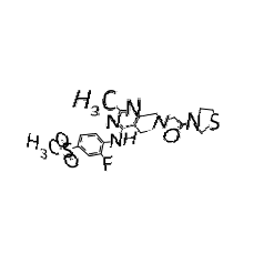 Cc1nc2c(c(Nc3ccc(S(C)(=O)=O)cc3F)n1)CCN(CC(=O)N1CCSC1)C2